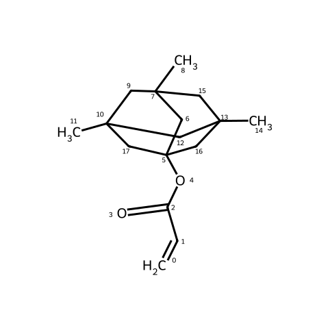 C=CC(=O)OC12CC3(C)CC(C)(CC(C)(C3)C1)C2